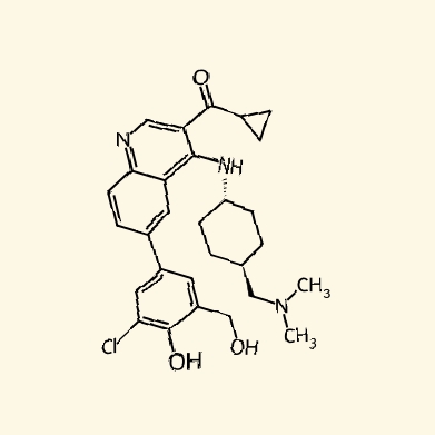 CN(C)C[C@H]1CC[C@H](Nc2c(C(=O)C3CC3)cnc3ccc(-c4cc(Cl)c(O)c(CO)c4)cc23)CC1